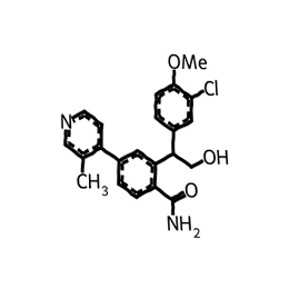 COc1ccc(C(CO)c2cc(-c3ccncc3C)ccc2C(N)=O)cc1Cl